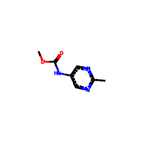 COC(=O)Nc1cnc(C)nc1